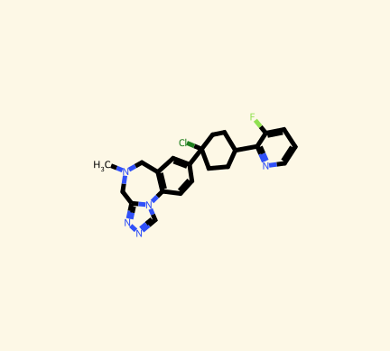 CN1Cc2cc(C3(Cl)CCC(c4ncccc4F)CC3)ccc2-n2cnnc2C1